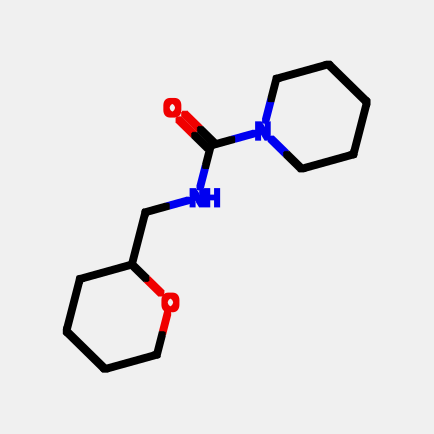 O=C(NCC1CCCCO1)N1CCCCC1